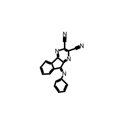 N#Cc1nc2c(nc1C#N)-c1ccccc1/C2=N\c1ccccc1